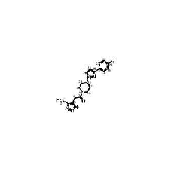 Cc1nonc1CC(=O)N1CCC(n2ccc(-c3ccc(F)cc3)n2)CC1